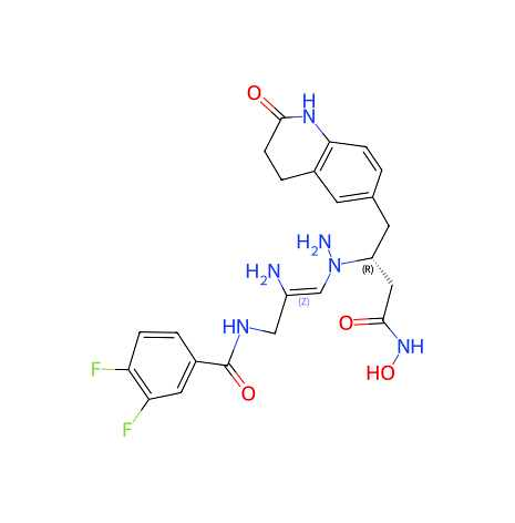 N/C(=C\N(N)[C@@H](CC(=O)NO)Cc1ccc2c(c1)CCC(=O)N2)CNC(=O)c1ccc(F)c(F)c1